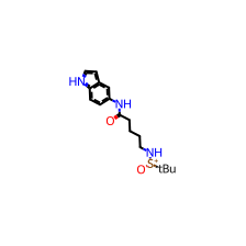 CC(C)(C)[S+]([O-])NCCCCC(=O)Nc1ccc2[nH]ccc2c1